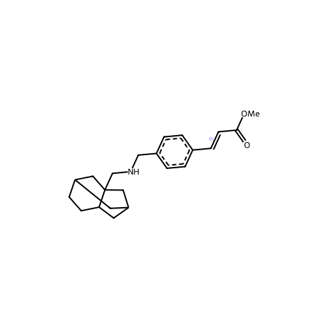 COC(=O)/C=C/c1ccc(CNCC23CC4CCC2CC(C4)C3)cc1